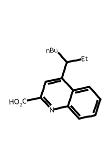 CCCCC(CC)c1cc(C(=O)O)nc2ccccc12